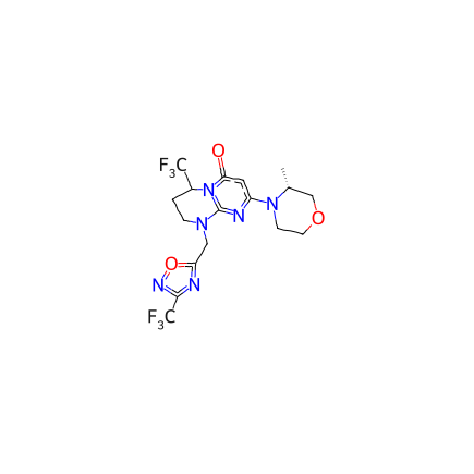 C[C@@H]1COCCN1c1cc(=O)n2c(n1)N(Cc1nc(C(F)(F)F)no1)CCC2C(F)(F)F